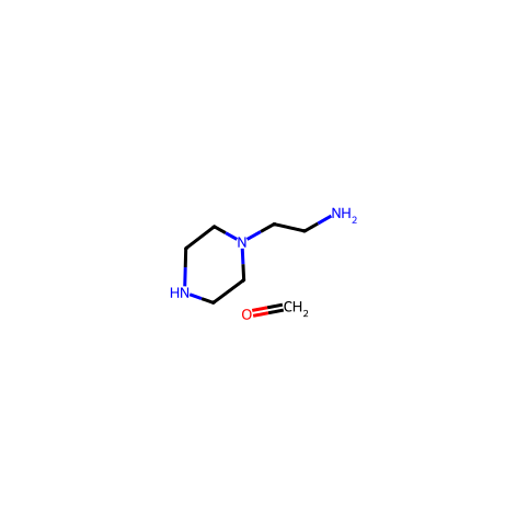 C=O.NCCN1CCNCC1